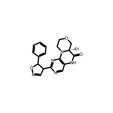 CC[C@@]12COCCN1c1nc(C3C=NOC3c3ccccc3)ncc1NC2=O